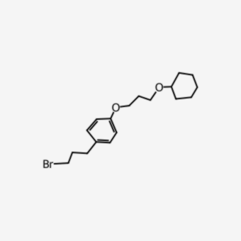 BrCCCc1ccc(OCCCOC2CCCCC2)cc1